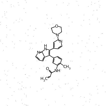 C=CC(=O)Nc1cc(-c2c(-c3ccnc(N4CCOCC4)c3)[nH]c3ncccc23)ccc1C